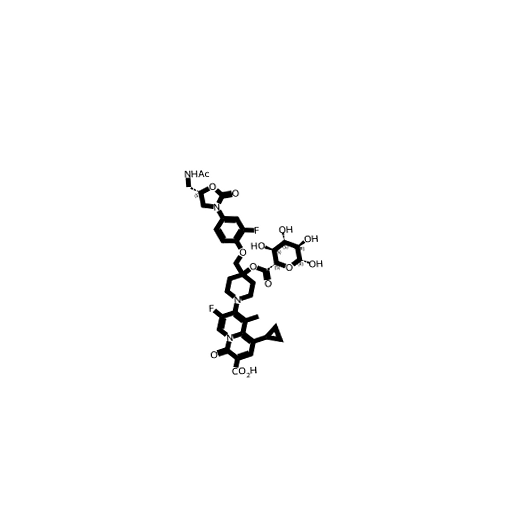 CC(=O)NC[C@H]1CN(c2ccc(OCC3(OC(=O)[C@H]4O[C@@H](O)[C@H](O)[C@@H](O)[C@@H]4O)CCN(c4c(F)cn5c(=O)c(C(=O)O)cc(C6CC6)c5c4C)CC3)c(F)c2)C(=O)O1